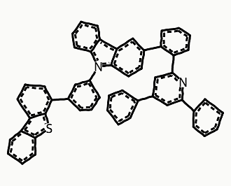 c1ccc(-c2cc(-c3ccccc3)nc(-c3ccccc3-c3ccc4c(c3)c3ccccc3n4-c3cccc(-c4cccc5c4sc4ccccc45)c3)c2)cc1